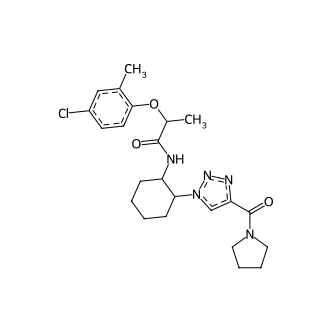 Cc1cc(Cl)ccc1OC(C)C(=O)NC1CCCCC1n1cc(C(=O)N2CCCC2)nn1